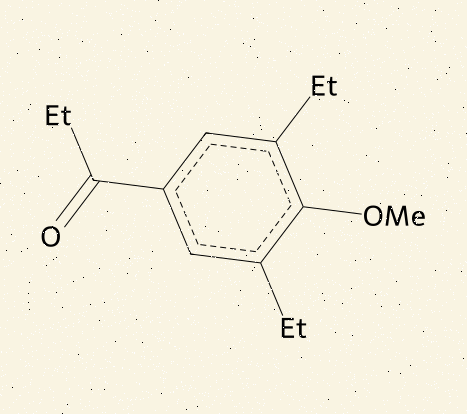 CCC(=O)c1cc(CC)c(OC)c(CC)c1